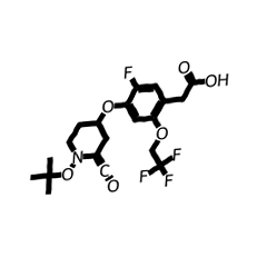 CC(C)(C)ON1CCC(Oc2cc(OCC(F)(F)F)c(CC(=O)O)cc2F)CC1=C=O